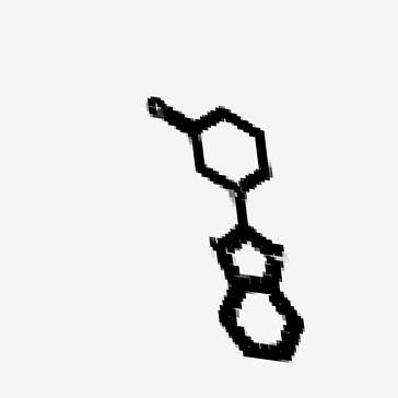 O=C1CCCN(c2nc3ccccc3s2)C1